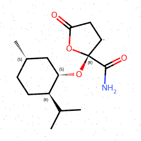 CC(C)[C@H]1CC[C@H](C)C[C@@H]1O[C@]1(C(N)=O)[CH]CC(=O)O1